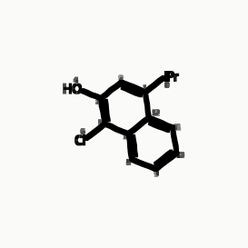 CC(C)c1cc(O)c(Cl)c2ccccc12